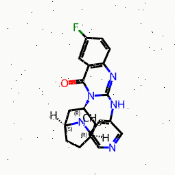 CN1[C@@H]2CC[C@H]1C[C@@H](n1c(Nc3cccnc3)nc3ccc(F)cc3c1=O)C2